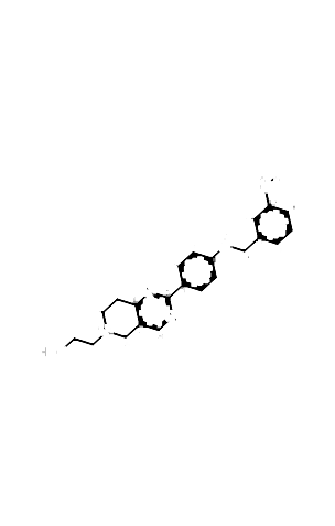 O=CCCN1CCc2nc(-c3ccc(OCc4cccc(OC(F)(F)F)c4)cc3)ncc2C1